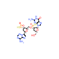 Nc1nc2c(ncn2[C@@H]2O[C@H](CO)C[C@H]2P(=O)(S)OC[C@H]2O[C@@H](c3cnc4c(N)ncnn34)C[C@@H]2O[PH](=O)S)c(=O)[nH]1